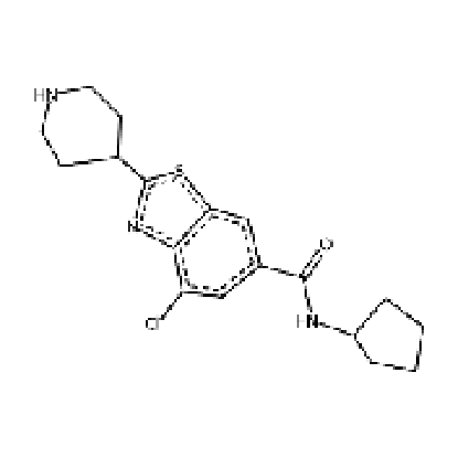 O=C(NC1CCCC1)c1cc(Cl)c2nc(C3CCNCC3)sc2c1